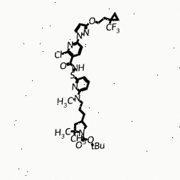 CN(CCCC1CN(C(=O)OC(C)(C)C)C(C)(C)C1)c1cccc(SNC(=O)c2ccc(-n3ccc(OCCC4(C(F)(F)F)CC4)n3)nc2Cl)n1